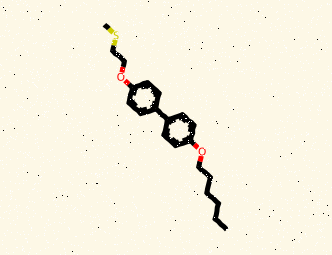 CCCCCCOc1ccc(-c2ccc(OCCSC)cc2)cc1